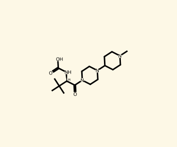 CN1CCC(N2CCN(C(=O)[C@H](NC(=O)O)C(C)(C)C)CC2)CC1